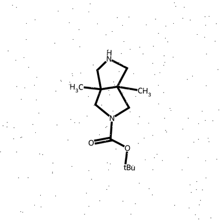 CC(C)(C)OC(=O)N1CC2(C)CNCC2(C)C1